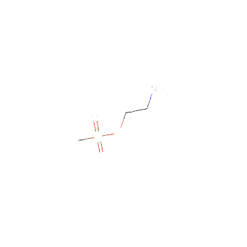 CS(=O)(=O)OCCN.Cl